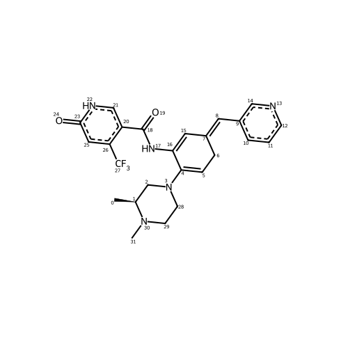 C[C@H]1CN(C2=CCC(=Cc3cccnc3)C=C2NC(=O)c2c[nH]c(=O)cc2C(F)(F)F)CCN1C